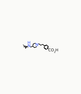 C[C@@H]1C[C@H]1NCC1CCN(CCCc2ccc(C(=O)O)cc2)CC1